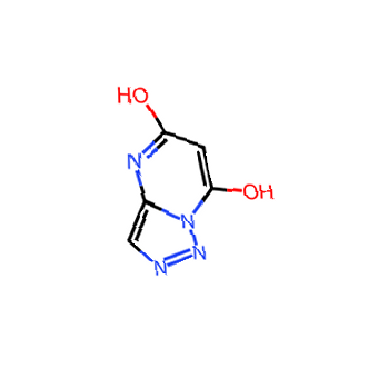 Oc1cc(O)n2nncc2n1